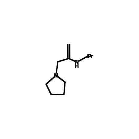 C=C(CN1CCCC1)NC(C)C